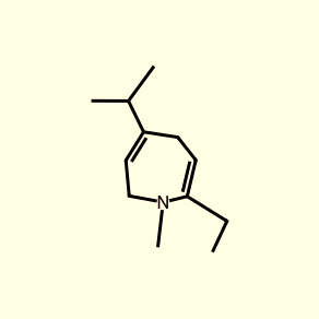 CCC1=CCC(C(C)C)=CCN1C